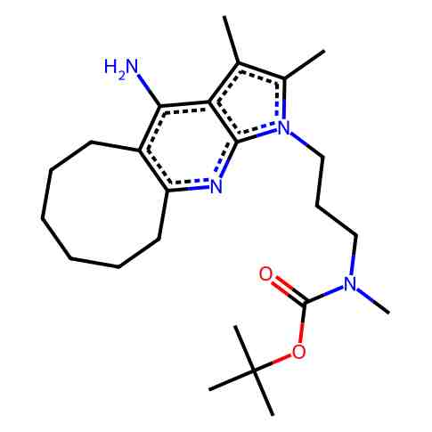 Cc1c(C)n(CCCN(C)C(=O)OC(C)(C)C)c2nc3c(c(N)c12)CCCCCC3